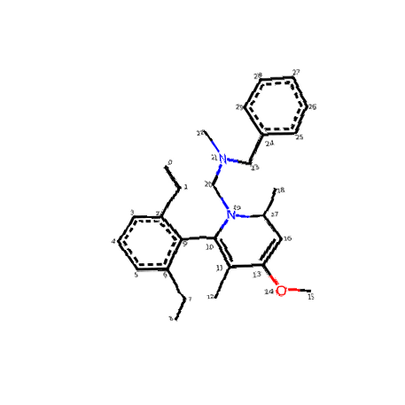 CCc1cccc(CC)c1C1=C(C)C(OC)=CC(C)N1CN(C)Cc1ccccc1